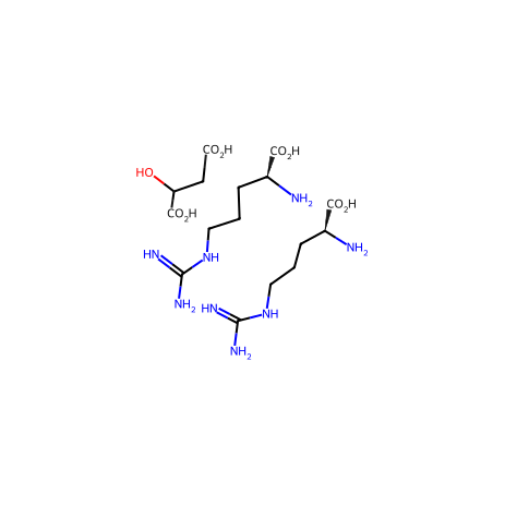 N=C(N)NCCC[C@H](N)C(=O)O.N=C(N)NCCC[C@H](N)C(=O)O.O=C(O)CC(O)C(=O)O